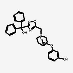 N#Cc1cccc(OC2C[N+]3(Cc4nc(C(O)(c5ccccc5)c5ccccc5)no4)CCC2CC3)c1